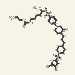 C=CCOC(=O)NCCCCC(NS(=O)(=O)c1ccc(N2CCC(CCCC3CCN(S(=O)(=O)c4cc(Br)c(Cl)s4)CC3)C(Br)C2)nc1)C(=O)O